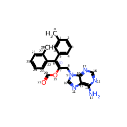 Cc1cccc(/C(=C(\Cn2cnc3c(N)ncnc32)OC=O)c2ccccc2C)c1